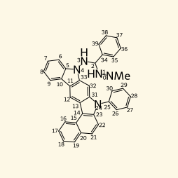 CNNC(Nn1c2ccccc2c2cc3c4c5ccccc5ccc4n(-c4ccccc4)c3cc21)c1ccccc1